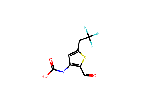 O=Cc1sc(CC(F)(F)F)cc1NC(=O)O